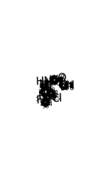 CN(C)C1CCCN(C(=O)c2ccc(Nc3ncc4c(n3)-c3ccc(Cl)cc3C(c3c(F)cccc3F)=NC4)cc2)C1